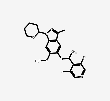 COc1cc2c(cc1OC(C)c1c(Cl)cncc1Cl)c(I)nn2C1CCCCO1